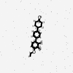 CCOc1ccc(-c2ccc(C3CCC(=O)CC3)cc2)c(F)c1F